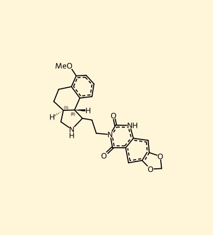 COc1cccc2c1CC[C@@H]1CNC(CCn3c(=O)[nH]c4cc5c(cc4c3=O)OCO5)[C@@H]21